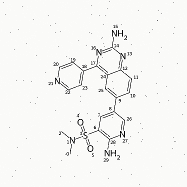 CN(C)S(=O)(=O)c1cc(-c2ccc3nc(N)nc(-c4ccncc4)c3c2)cnc1N